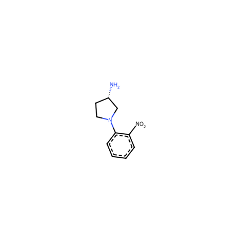 N[C@H]1CCN(c2ccccc2[N+](=O)[O-])C1